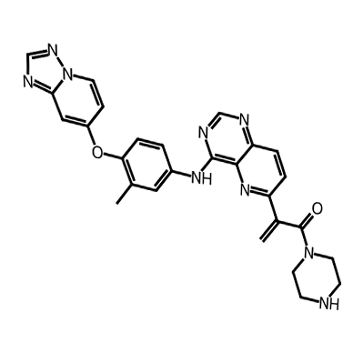 C=C(C(=O)N1CCNCC1)c1ccc2ncnc(Nc3ccc(Oc4ccn5ncnc5c4)c(C)c3)c2n1